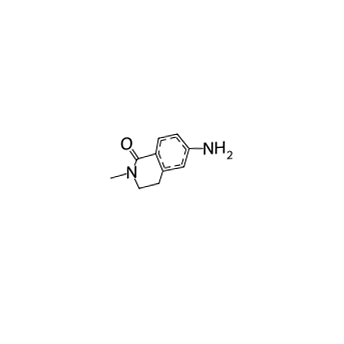 CN1CCc2cc(N)ccc2C1=O